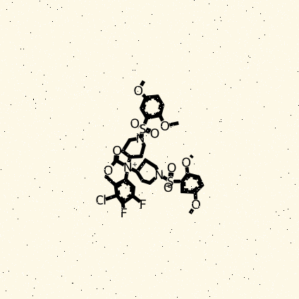 COc1ccc(OC)c(S(=O)(=O)N2CCC([N+]3(C4CCN(S(=O)(=O)c5cc(OC)ccc5OC)CC4)C(=O)OCc4c3cc(F)c(F)c4Cl)CC2)c1